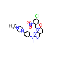 CN1CCN(c2ccc(Nc3ncc4ccc(=O)n(Cc5ccc(Cl)cc5[N+](=O)[O-])c4n3)cc2)CC1